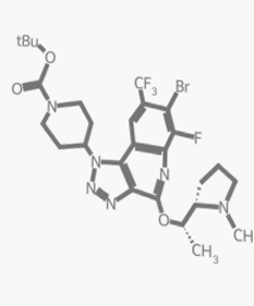 C[C@H](Oc1nc2c(F)c(Br)c(C(F)(F)F)cc2c2c1nnn2C1CCN(C(=O)OC(C)(C)C)CC1)[C@@H]1CCCN1C